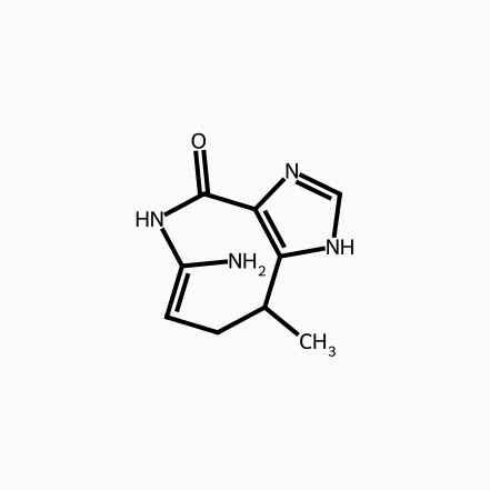 CC1C/C=C(\N)NC(=O)c2nc[nH]c21